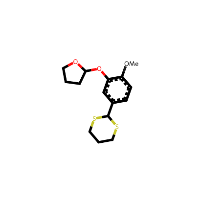 COc1ccc(C2SCCCS2)cc1OC1CCCO1